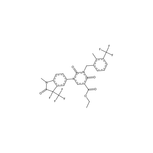 CCOC(=O)c1cn(-c2ccc3c(c2)C(F)(C(F)(F)F)C(=O)N3C)c(=O)n(Cc2cccc(C(F)(F)F)c2C)c1=O